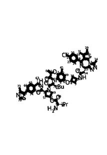 C=C(Oc1ccc(O[C@H]2C[C@@H](NC(=O)C[C@@H]3N=C(c4ccc(Cl)cc4)c4c(sc(C)c4C)-n4c(C)nnc43)C2)cc1C)C(=O)N[C@H](C(=O)N1C[C@H](OC(=O)[C@@H](N)C(C)C)C[C@H]1C(=O)N[C@@H](C)c1ccc(-c2scnc2C)cc1)C(C)(C)C